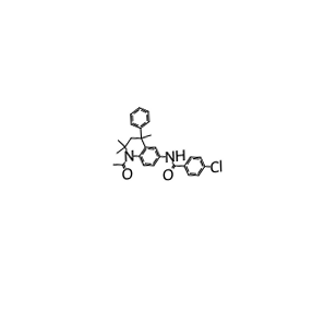 CC(=O)N1c2ccc(NC(=O)c3ccc(Cl)cc3)cc2C(C)(c2ccccc2)CC1(C)C